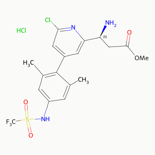 COC(=O)C[C@H](N)c1cc(-c2c(C)cc(NS(=O)(=O)C(F)(F)F)cc2C)cc(Cl)n1.Cl